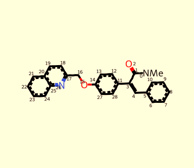 CNC(=O)C(=Cc1ccccc1)c1ccc(OCc2ccc3ccccc3n2)cc1